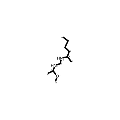 CCCCC(C)NCNC(C)OC